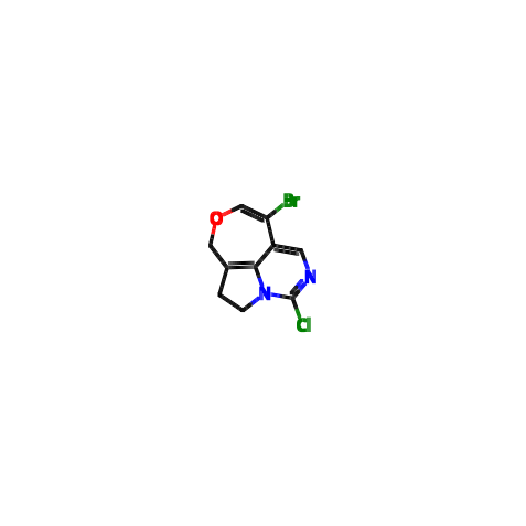 ClC1=NC=C2C(Br)=COCC3=C2N1CC3